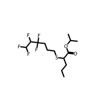 CCCC(SCCCC(F)(F)C(F)C(F)F)C(=O)OC(C)C